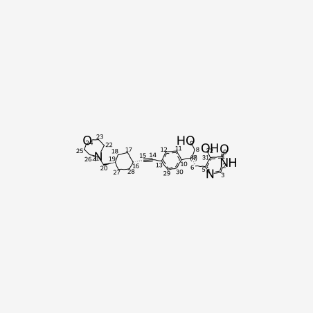 O=c1[nH]cnc(C[C@@H](CO)c2ccc(C#C[C@H]3CC[C@H](CN4CCOCC4)CC3)cc2)c1O